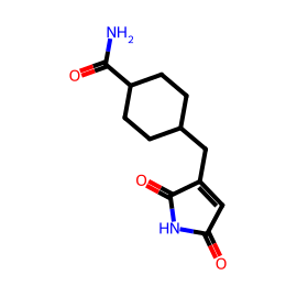 NC(=O)C1CCC(CC2=CC(=O)NC2=O)CC1